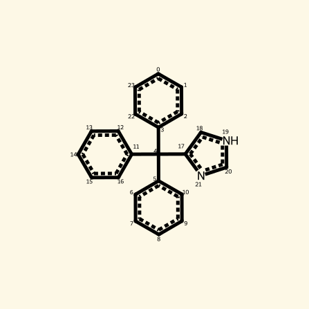 c1ccc(C(c2ccccc2)(c2ccccc2)c2c[nH]cn2)cc1